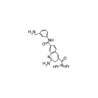 CCCN(CCC)C(=O)C1=Cc2ccc(C(=O)Nc3cccc(CN)c3)cc2N=C(N)C1